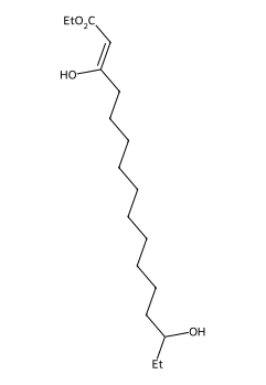 CCOC(=O)C=C(O)CCCCCCCCCCC(O)CC